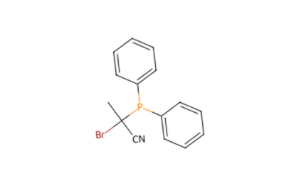 CC(Br)(C#N)P(c1ccccc1)c1ccccc1